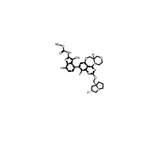 CC(C)(C)OC(=O)Nc1sc2c(F)ccc(-c3cc4c5c(nc(OC[C@@]67CCCN6C[C@H](F)C7)nc5c3F)N3CCOC[C@H]3CO4)c2c1C#N